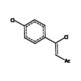 CC(=O)C=C(Cl)c1ccc(Cl)cc1